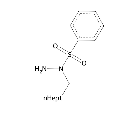 CCCCCCCCN(N)S(=O)(=O)c1ccccc1